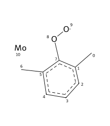 Cc1cccc(C)c1O[O].[Mo]